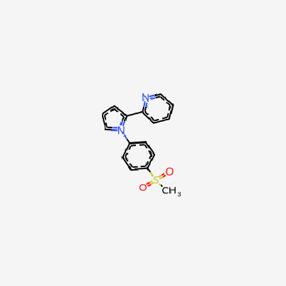 CS(=O)(=O)c1ccc(-n2cccc2-c2ccccn2)cc1